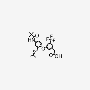 CC(C)SCc1cc(NC(=O)C(C)(C)C)ccc1Oc1cc(CC(=O)O)cc(C(F)(F)F)c1